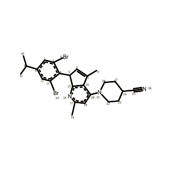 CC1=CC(c2c(Br)cc(C(C)C)cc2Br)c2nc(C)cc(N3CCC(C#N)CC3)c21